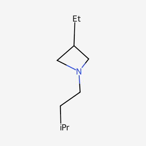 CCC1CN(CCC(C)C)C1